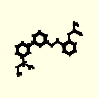 NC(=O)Cc1ccccc1OCc1cccc(-c2cccc([C@H](N)CO)c2)c1